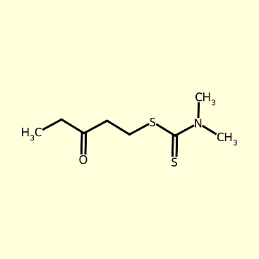 CCC(=O)CCSC(=S)N(C)C